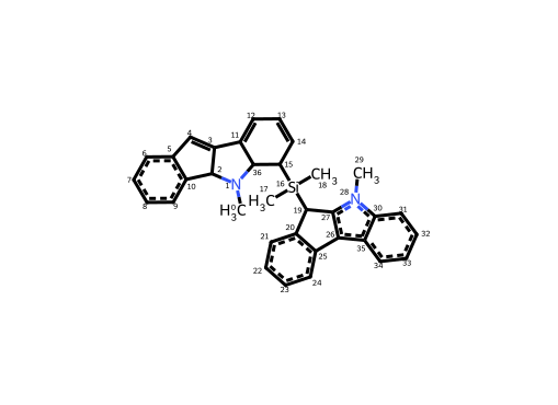 CN1C2C(=Cc3ccccc32)C2=CC=CC([Si](C)(C)C3c4ccccc4-c4c3n(C)c3ccccc43)C21